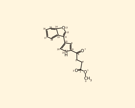 COC(=O)CCC(=O)c1cc(-c2coc3ccccc23)c[nH]1